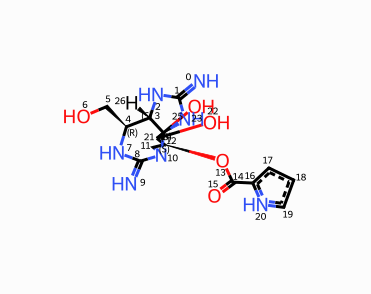 N=C1N[C@H]2[C@H](CO)NC(=N)N3C[C@H](OC(=O)c4ccc[nH]4)C(O)(O)[C@]23N1